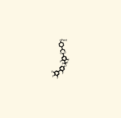 CCCCCC1CCC(C2COC(c3cc(F)c(C(F)(F)Oc4ccc(-c5cc(F)c(F)c(F)c5)c(F)c4)c(F)c3)OC2)CC1